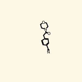 N#Cc1ccc(CC(=O)N2CCOCC2)cc1